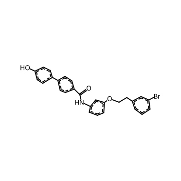 O=C(Nc1cccc(OCCc2cccc(Br)c2)c1)c1ccc(-c2ccc(O)cc2)cc1